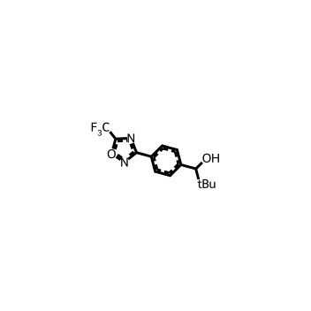 CC(C)(C)C(O)c1ccc(-c2noc(C(F)(F)F)n2)cc1